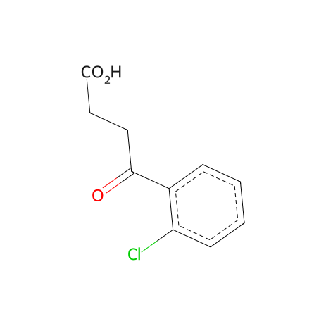 O=C(O)CCC(=O)c1ccccc1Cl